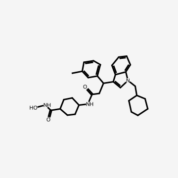 Cc1cccc(C(CC(=O)NC2CCC(C(=O)NO)CC2)c2cn(CC3CCCCC3)c3ccccc23)c1